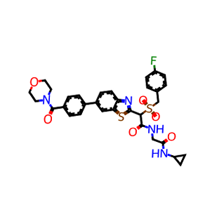 O=C(CNC(=O)C(c1nc2ccc(-c3ccc(C(=O)N4CCOCC4)cc3)cc2s1)S(=O)(=O)Cc1ccc(F)cc1)NC1CC1